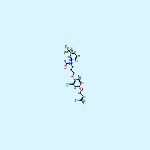 CC(=O)N(CCCOc1c(Cl)cc(OCC=C(Cl)Cl)cc1Cl)c1cccc(C(F)(F)F)c1